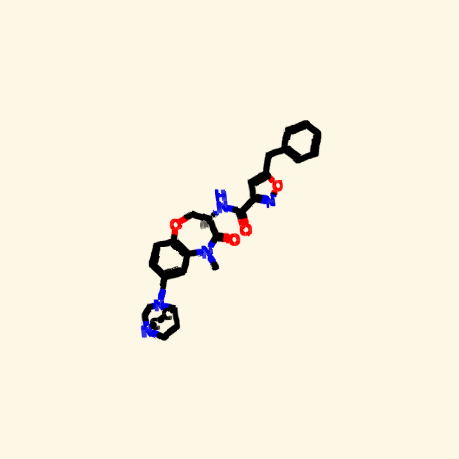 CN1C(=O)[C@@H](NC(=O)c2cc(Cc3ccccc3)on2)COc2ccc(N3CCN4CCC3CC4)cc21